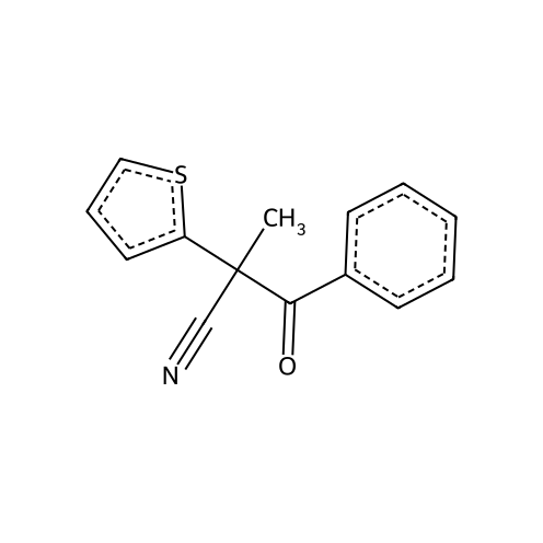 CC(C#N)(C(=O)c1ccccc1)c1cccs1